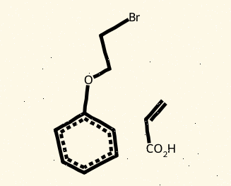 BrCCOc1ccccc1.C=CC(=O)O